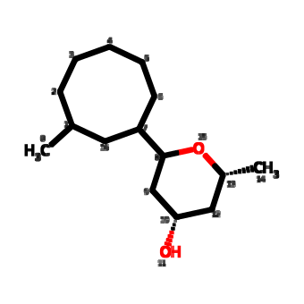 CC1CCCCCC(C2C[C@@H](O)C[C@@H](C)O2)C1